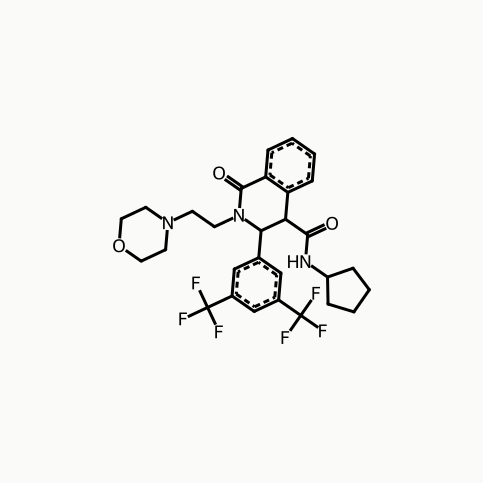 O=C(NC1CCCC1)C1c2ccccc2C(=O)N(CCN2CCOCC2)C1c1cc(C(F)(F)F)cc(C(F)(F)F)c1